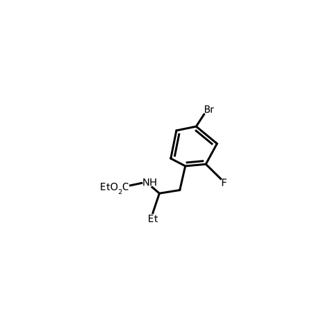 CCOC(=O)NC(CC)Cc1ccc(Br)cc1F